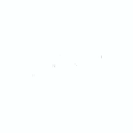 CC1CCN(C(=O)CCn2ccc3cc(Cl)ccc32)CC1